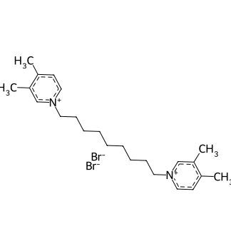 Cc1cc[n+](CCCCCCCCC[n+]2ccc(C)c(C)c2)cc1C.[Br-].[Br-]